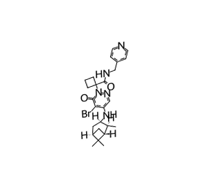 C[C@H]1[C@H]2C[C@H](C[C@H]1Nc1cnn(C3(C(=O)NCc4ccncc4)CCC3)c(=O)c1Br)C2(C)C